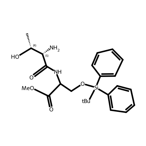 COC(=O)C(CO[Si](c1ccccc1)(c1ccccc1)C(C)(C)C)NC(=O)[C@@H](N)[C@@H](C)O